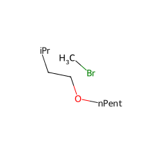 CBr.CCCCCOCCC(C)C